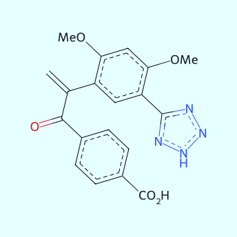 C=C(C(=O)c1ccc(C(=O)O)cc1)c1cc(-c2nn[nH]n2)c(OC)cc1OC